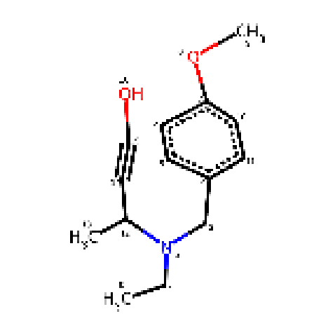 CCN(Cc1ccc(OC)cc1)C(C)C#CO